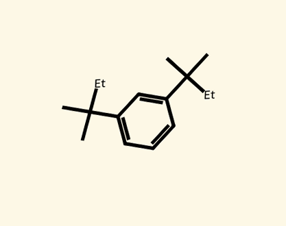 CCC(C)(C)c1cccc(C(C)(C)CC)c1